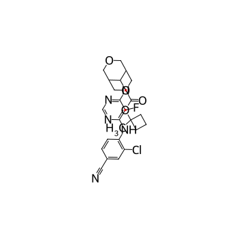 CC1(OC(=O)N2CC3COCC(C2)C3Oc2ncnc(Nc3ccc(C#N)cc3Cl)c2F)CCC1